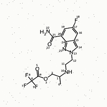 CC(COC(=O)C(F)(F)F)NCCn1cc2cc(F)cc(C(N)=O)c2n1